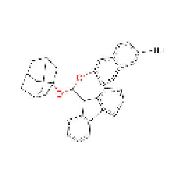 CCC(C)c1ccc2cc(OC(OC34CC5CC(CC(C5)C3)C4)C3c4ccccc4-c4ccccc43)ccc2c1